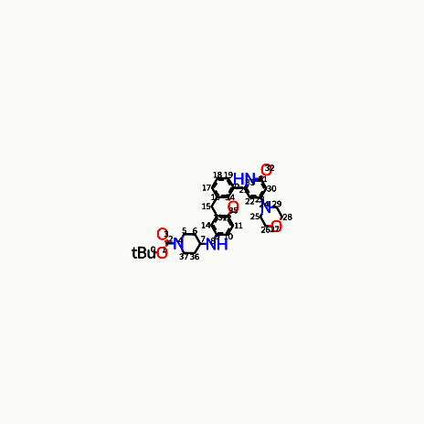 CC(C)(C)OC(=O)N1CCC(Nc2ccc3c(c2)Cc2cccc(-c4cc(N5CCOCC5)cc(=O)[nH]4)c2O3)CC1